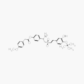 COc1ccc(CC(=O)Oc2ccc(C(N)CS(=O)(=O)C=Cc3ccc(OC(C)(C)C)c(O)c3)cc2)cc1